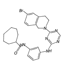 O=C(Nc1cccc(Nc2ncnc(N3CCc4cc(Br)ccc4C3)n2)c1)C1CCCCCC1